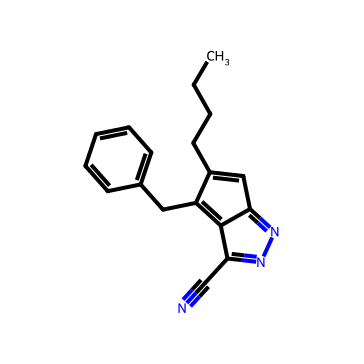 CCCCC1=CC2=NN=C(C#N)C2=C1Cc1ccccc1